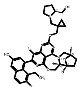 CCc1c(F)ccc2cc(O)cc(-c3nc4c5c(nc(OCC6(CN7CCC[C@H]7CO)CC6)nc5c3F)N3C[C@@H]5CC[C@@H](N5)[C@@H]3CO4)c12